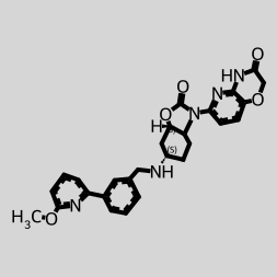 COc1cccc(-c2cccc(CN[C@H]3CCC4[C@H](C3)OC(=O)N4c3ccc4c(n3)NC(=O)CO4)c2)n1